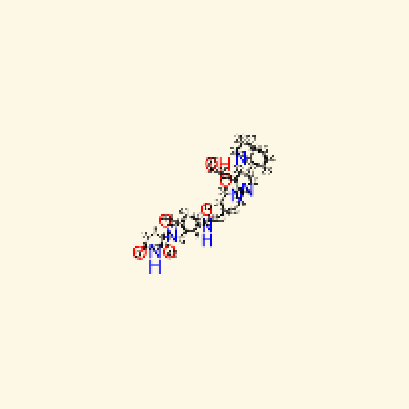 O=C1CCC(N2Cc3cc(NC(=O)CC4CCN(c5ncc(-c6cccc7cccnc67)cc5OCCO)CC4)ccc3C2=O)C(=O)N1